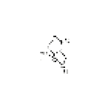 C[C@@H]1C2OC(=O)C3C[C@@H]1OC32